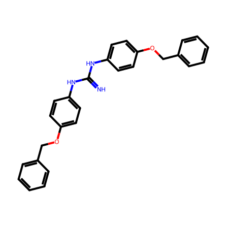 N=C(Nc1ccc(OCc2ccccc2)cc1)Nc1ccc(OCc2ccccc2)cc1